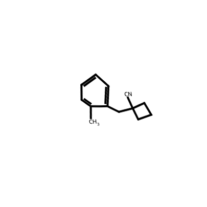 Cc1ccccc1CC1(C#N)CCC1